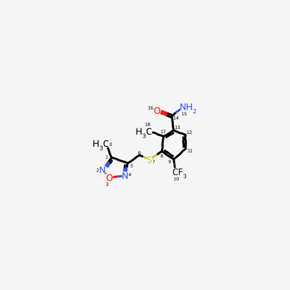 Cc1nonc1CSc1c(C(F)(F)F)ccc(C(N)=O)c1C